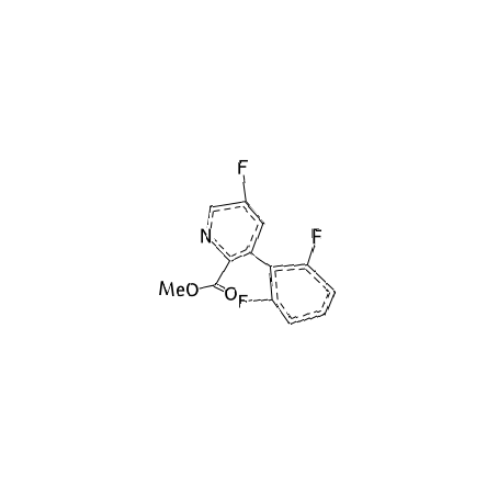 COC(=O)c1ncc(F)cc1-c1c(F)cccc1F